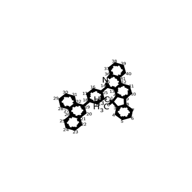 CC1(C)c2ccccc2-c2ccc3c(c(-c4ccc(-c5cc6ccccc6c6ccccc56)cc4)nc4ccccc43)c21